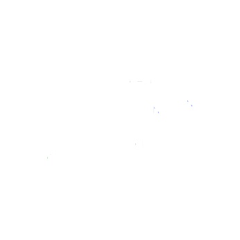 O=CSC(c1ccc(Cl)cc1)C(Cl)n1ccnc1